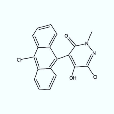 Cn1nc(Cl)c(O)c(-c2c3ccccc3c(Cl)c3ccccc23)c1=O